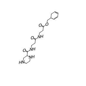 O=C(CCNC(=O)C1CNCCN1)NCCC(=O)OCC1C=CC=CC1